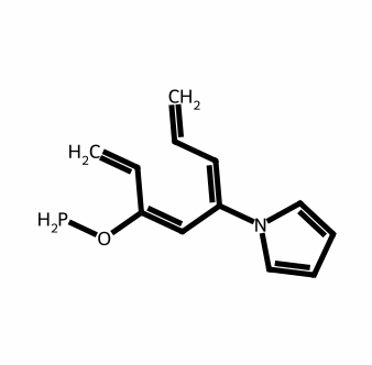 C=C/C=C(\C=C(/C=C)OP)n1cccc1